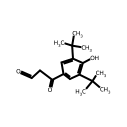 CC(C)(C)c1cc(C(=O)CC=O)cc(C(C)(C)C)c1O